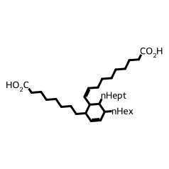 CCCCCCCC1C(CCCCCC)C=CC(CCCCCCCC(=O)O)C1/C=C\CCCCCCCC(=O)O